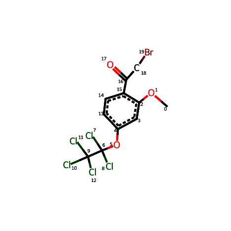 COc1cc(OC(Cl)(Cl)C(Cl)(Cl)Cl)ccc1C(=O)CBr